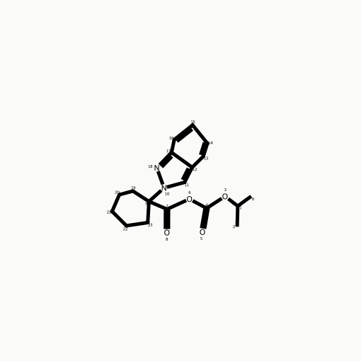 CC(C)OC(=O)OC(=O)C1(n2cc3ccccc3n2)CCCCC1